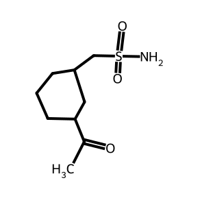 CC(=O)C1CCCC(CS(N)(=O)=O)C1